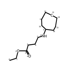 CCOC(=O)CCCNC1CCCCCCC1